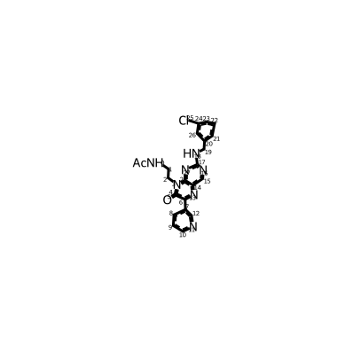 CC(=O)NCCn1c(=O)c(-c2cccnc2)nc2cnc(NCc3cccc(Cl)c3)nc21